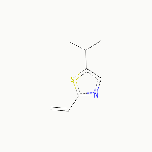 C=Cc1ncc(C(C)C)s1